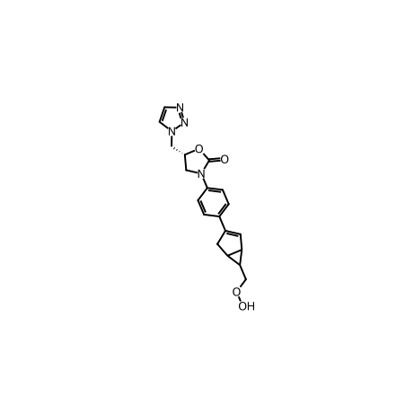 O=C1O[C@@H](Cn2ccnn2)CN1c1ccc(C2=CC3C(COO)C3C2)cc1